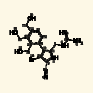 N#Cc1[nH]c(CNC(=N)N)c(-c2ccc(CO)c(CO)c2CO)c1Br